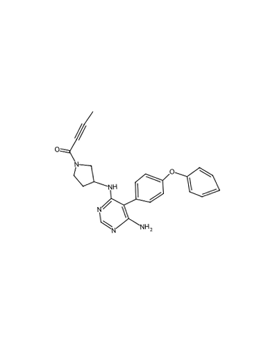 CC#CC(=O)N1CCC(Nc2ncnc(N)c2-c2ccc(Oc3ccccc3)cc2)C1